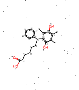 Cc1c(C)c(O)c(C(CCCCCC(=O)O)c2ccccc2)c(C)c1O